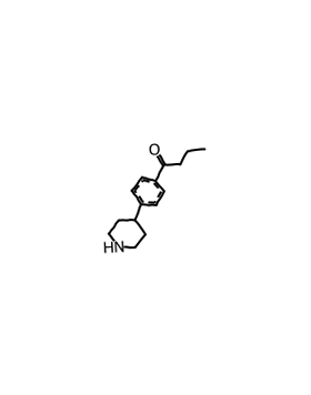 CCCC(=O)c1ccc(C2CCNCC2)cc1